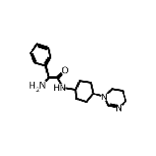 NC(C(=O)NC1CCC(N2C=NCCC2)CC1)c1ccccc1